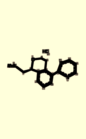 CNC[C@H]1OCCc2c(-c3ncccn3)cccc21.Cl